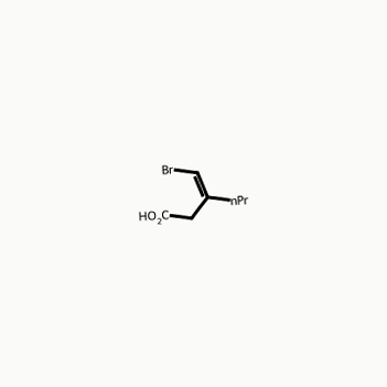 CCCC(=CBr)CC(=O)O